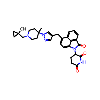 CC1(n2cc(Cc3ccc4c5c(cccc35)C(=O)N4C3CCC(=O)NC3=O)cn2)CCN(CC2(C#N)CC2)CC1